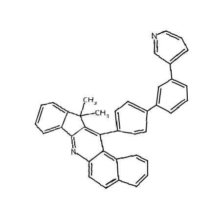 CC1(C)c2ccccc2-c2nc3ccc4ccccc4c3c(-c3ccc(-c4cccc(-c5cccnc5)c4)cc3)c21